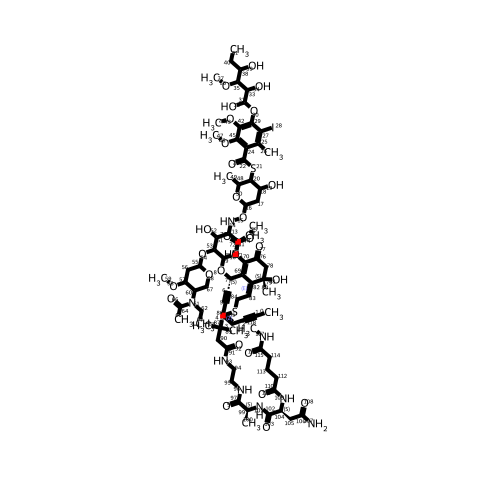 CC#C/C=C\C#C[C@H](OC1OC(C)C(NOC2CC(O)C(SC(=O)c3c(C)c(I)c(OC(O)C(O)C(OC)C(O)CC)c(OC)c3OC)C(C)O2)C(O)C1OC1CC(OC)C(N(CC)C(C)=O)CO1)C1=C(NC(=O)OC)C(=O)C[C@](C)(O)/C1=C/CSSC(C)(C)CC(=O)NCCNC(=O)[C@H](C)NC(=O)[C@H](CC(N)=O)NC(=O)CCCC(=O)NC